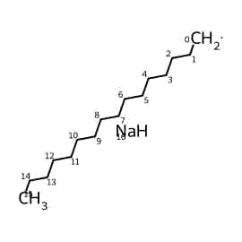 [CH2]CCCCCCCCCCCCCCC.[NaH]